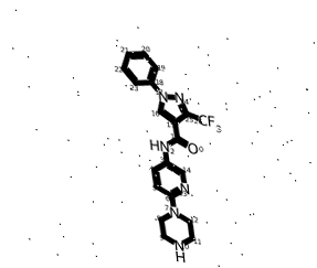 O=C(Nc1ccc(N2CCNCC2)nc1)c1cn(-c2ccccc2)nc1C(F)(F)F